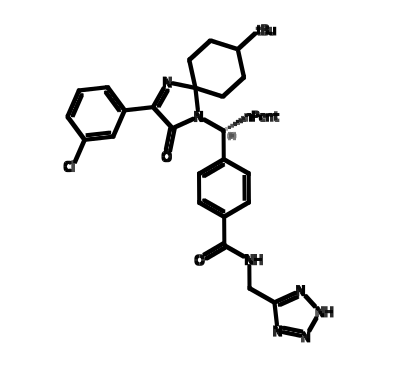 CCCCC[C@H](c1ccc(C(=O)NCc2nn[nH]n2)cc1)N1C(=O)C(c2cccc(Cl)c2)=NC12CCC(C(C)(C)C)CC2